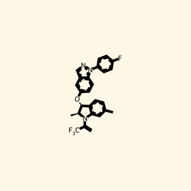 C=C(N1c2cc(C)ccc2[C@@H](Oc2ccc3c(cnn3-c3ccc(F)cc3)c2)[C@@H]1C)C(F)(F)F